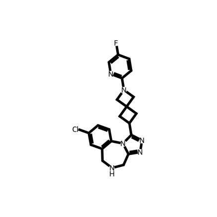 Fc1ccc(N2CC3(CC(c4nnc5n4-c4ccc(Cl)cc4CNC5)C3)C2)nc1